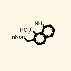 CCCCCCCCCCc1ccc2ccccc2c1C(=O)O.N